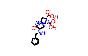 NC(=O)C(C[C@@H]1CC[C@@H](C(=O)O)N1C(=O)O)NCc1ccccc1